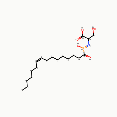 CCCCCC/C=C\CCCCCCCC(=O)/[P+]([O-])=N/C(CO)C(=O)O